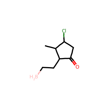 BCCC1C(=O)CC(Cl)C1C